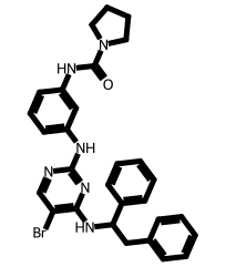 O=C(Nc1cccc(Nc2ncc(Br)c(NC(Cc3ccccc3)c3ccccc3)n2)c1)N1CCCC1